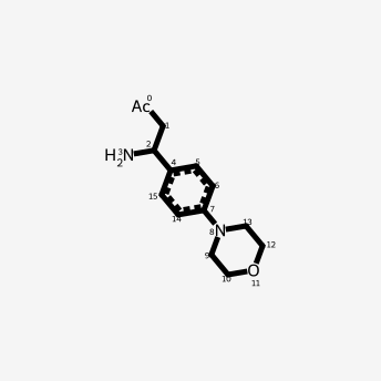 CC(=O)CC(N)c1ccc(N2CCOCC2)cc1